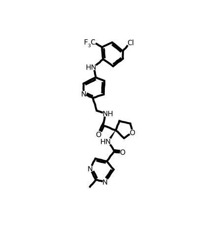 Cc1ncc(C(=O)N[C@@]2(C(=O)NCc3ccc(Nc4ccc(Cl)cc4C(F)(F)F)cn3)CCOC2)cn1